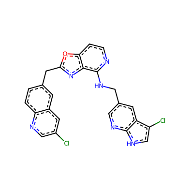 Clc1cnc2ccc(Cc3nc4c(NCc5cnc6[nH]cc(Cl)c6c5)nccc4o3)cc2c1